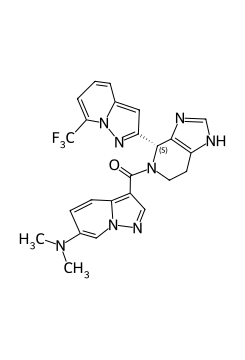 CN(C)c1ccc2c(C(=O)N3CCc4[nH]cnc4[C@H]3c3cc4cccc(C(F)(F)F)n4n3)cnn2c1